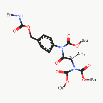 CCNC(=O)OCc1ccc(N(C(=O)OC(C)(C)C)C(=O)[C@H](C)N(C(=O)OC(C)(C)C)C(=O)OC(C)(C)C)cc1